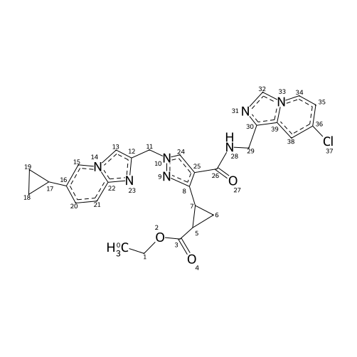 CCOC(=O)C1CC1c1nn(Cc2cn3cc(C4CC4)ccc3n2)cc1C(=O)NCc1ncn2ccc(Cl)cc12